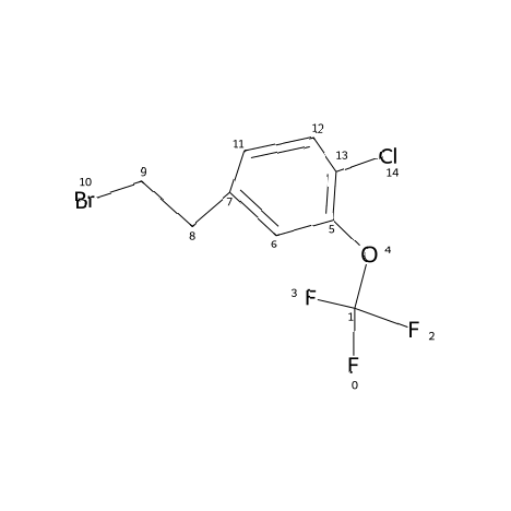 FC(F)(F)Oc1cc(CCBr)ccc1Cl